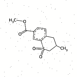 COC(=O)c1ccc2c(c1)S(=O)(=O)CC(C)C2